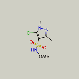 CONS(=O)(=O)c1c(C)nn(C)c1Cl